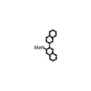 CNc1cc2ccccc2cc1-c1ccc2ccccc2c1